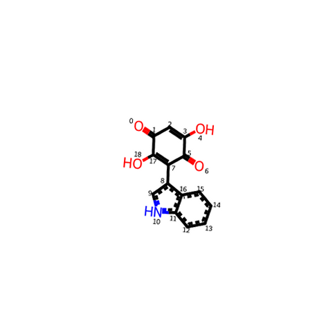 O=C1C=C(O)C(=O)C(c2c[nH]c3ccccc23)=C1O